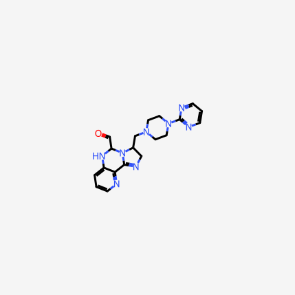 O=CC1Nc2cccnc2C2=NCC(CN3CCN(c4ncccn4)CC3)N21